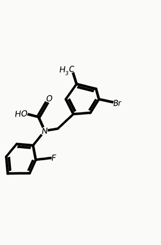 Cc1cc(Br)cc(CN(C(=O)O)c2ccccc2F)c1